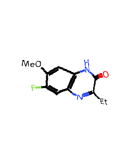 CCc1nc2cc(F)c(OC)cc2[nH]c1=O